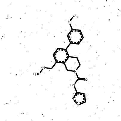 O=CNCc1ccc(-c2cccc(OC(F)(F)F)c2)c2c1CN(C(=O)Nc1ccon1)CC2